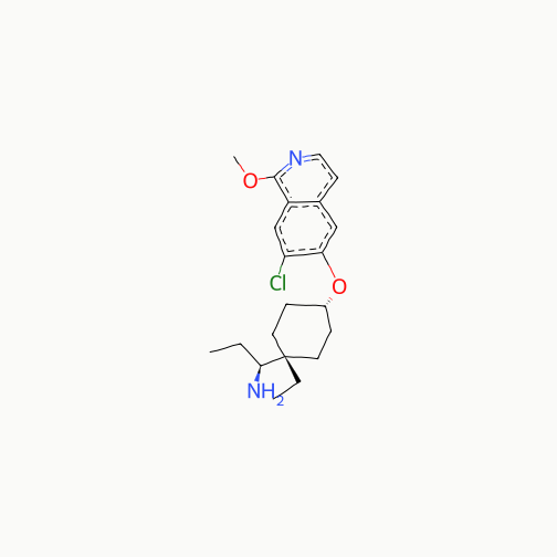 CC[C@H](N)[C@]1(CC)CC[C@H](Oc2cc3ccnc(OC)c3cc2Cl)CC1